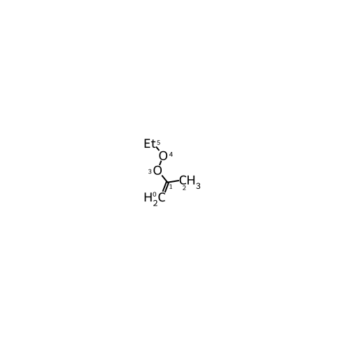 C=C(C)OOCC